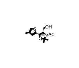 CC(=O)N1[C@@H](CO)[C@@H](c2cc(C)cs2)OC1(C)C